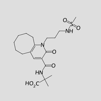 CC(C)(NC(=O)c1cc2c(n(CCCNS(C)(=O)=O)c1=O)CCCCCC2)C(=O)O